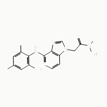 Cc1cc(F)cc(F)c1Nc1nccc2c1ncn2CC(=O)N(C)C